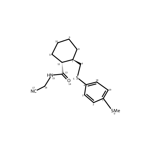 CSc1ccc(SC[C@@H]2CCCC[C@H]2C(=O)NCC#N)cc1